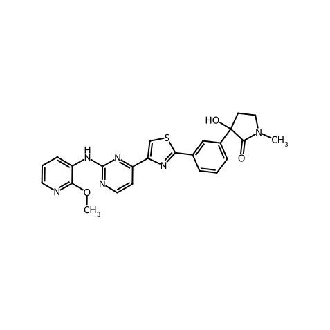 COc1ncccc1Nc1nccc(-c2csc(-c3cccc(C4(O)CCN(C)C4=O)c3)n2)n1